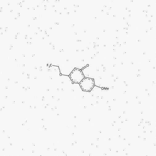 COc1ccc2oc(OCC(F)(F)F)cc(=O)c2c1